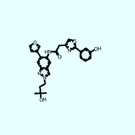 CC(C)(O)CCn1cc2cc(NC(=O)Cc3csc(-c4cccc(O)c4)n3)c(-c3ccoc3)cc2n1